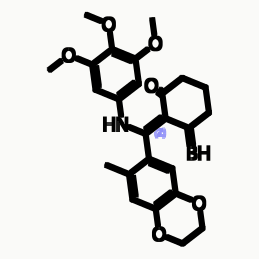 B=C1CCCC(=O)/C1=C(\Nc1cc(OC)c(OC)c(OC)c1)c1cc2c(cc1C)OCCO2